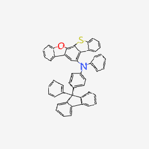 c1ccc(N(c2ccc(C3(c4ccccc4)c4ccccc4-c4ccccc43)cc2)c2cc3c4ccccc4oc3c3sc4ccccc4c23)cc1